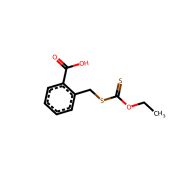 CCOC(=S)SCc1ccccc1C(=O)O